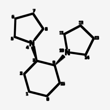 C1CC[C@@H](N2CCCC2)[C@H](N2CCCC2)C1